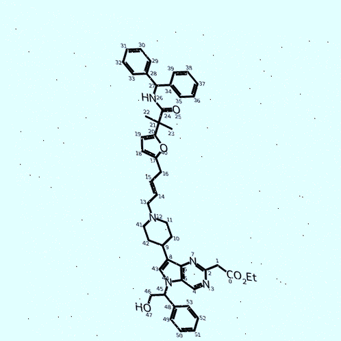 CCOC(=O)Cc1ncc2c(n1)c(C1CCN(CC=CCc3ccc(C(C)(C)C(=O)NC(c4ccccc4)c4ccccc4)o3)CC1)cn2C(CO)c1ccccc1